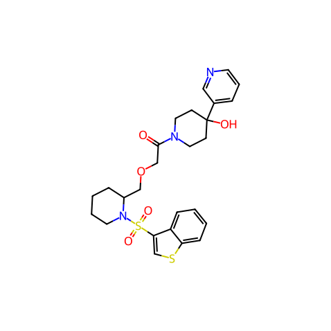 O=C(COCC1CCCCN1S(=O)(=O)c1csc2ccccc12)N1CCC(O)(c2cccnc2)CC1